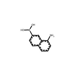 Nc1cccc2ccc(B(O)O)cc12